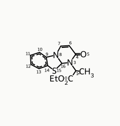 CCOC(=O)C(C)N1C(=O)C=CN2c3ccccc3SC21